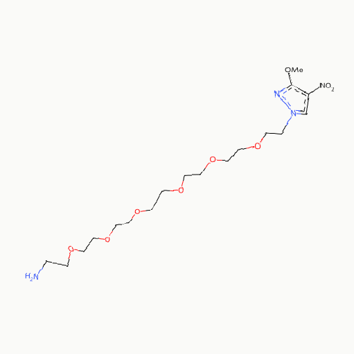 COc1nn(CCOCCOCCOCCOCCOCCOCCN)cc1[N+](=O)[O-]